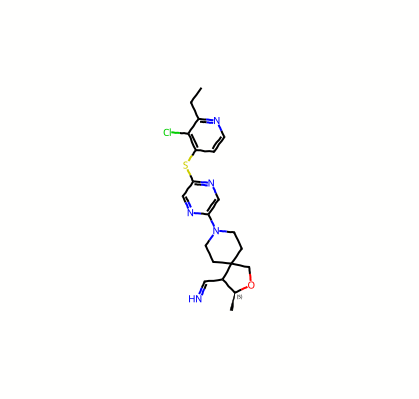 CCc1nccc(Sc2cnc(N3CCC4(CC3)CO[C@@H](C)C4C=N)cn2)c1Cl